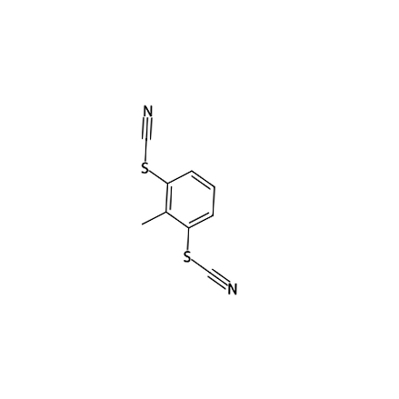 Cc1c(SC#N)cccc1SC#N